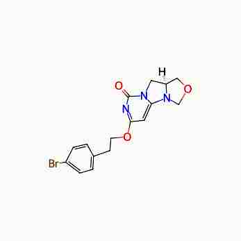 O=c1nc(OCCc2ccc(Br)cc2)cc2n1C[C@H]1COCN21